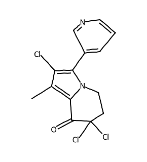 Cc1c(Cl)c(-c2cccnc2)n2c1C(=O)C(Cl)(Cl)CC2